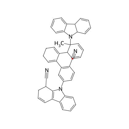 CC1(N2c3ccccc3C3C=CC=CC32)C=CC=CC1C1=CCCC=C1c1cc(-n2c3c(c4ccccc42)C=CCC3C#N)ccc1C#N